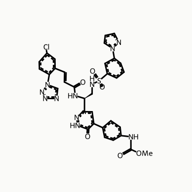 COC(=O)Nc1ccc(-c2cc([C@H](CNS(=O)(=O)c3cccc(-n4cccn4)c3)NC(=O)/C=C/c3cc(Cl)ccc3-n3cnnn3)n[nH]c2=O)cc1